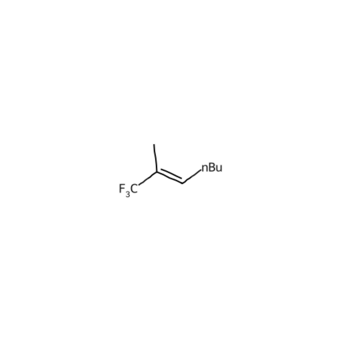 CCCC/C=C(\C)C(F)(F)F